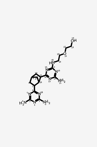 Nc1nc(N)nc(C2CC3CC(c4nc(N)nc(NCCOCCO)n4)C2C3)n1